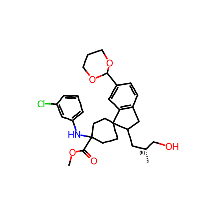 COC(=O)C1(Nc2cccc(Cl)c2)CCC2(CC1)c1cc(C3OCCCO3)ccc1CC2C[C@@H](C)CO